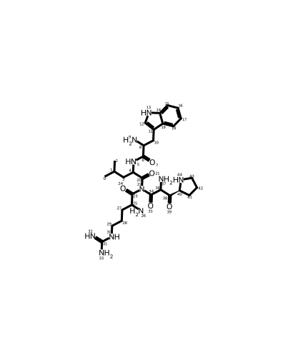 CC(C)CC(NC(=O)C(N)Cc1c[nH]c2ccccc12)C(=O)N(C(=O)C(N)CCCNC(=N)N)C(=O)C(N)C(=O)[C@@H]1CCCN1